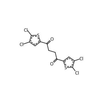 O=C(CCC(=O)c1cc(Cl)c(Cl)s1)c1cc(Cl)c(Cl)s1